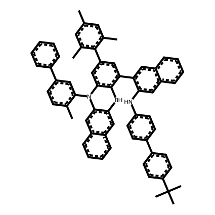 Cc1cc(C)c(-c2cc(-c3cc4ccccc4cc3Nc3ccc(-c4ccc(C(C)(C)C)cc4)cc3)c3c(c2)N(c2cc(-c4ccccc4)ccc2C)c2cc4ccccc4cc2B3)c(C)c1